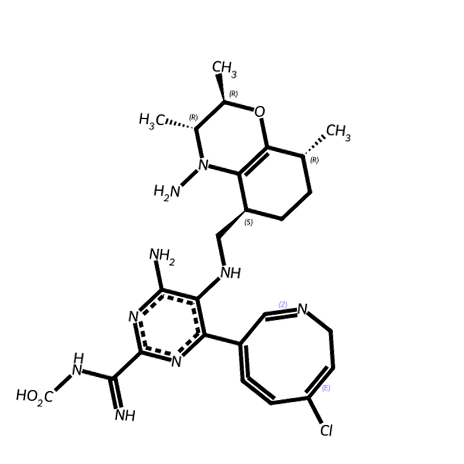 C[C@@H]1CC[C@@H](CNc2c(N)nc(C(=N)NC(=O)O)nc2C2=C=C/C(Cl)=C\C/N=C\2)C2=C1O[C@H](C)[C@@H](C)N2N